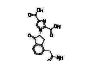 CNC(=O)Cc1cccc2c1CC(n1cc(C(=O)O)nc1C(=O)O)C2=O